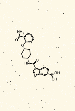 NC(=O)c1cccnc1O[C@H]1CC[C@H](NC(=O)c2cnn3cc(B(O)O)ccc23)CC1